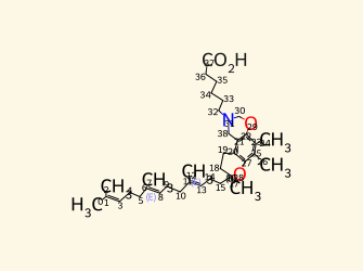 CC(C)=CCC/C(C)=C/CC/C(C)=C/CC[C@]1(C)CCc2c3c(c(C)c(C)c2O1)OCN(CCCCCC(=O)O)C3